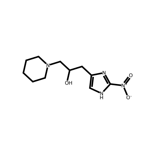 O=[N+]([O-])c1nc(CC(O)CN2CCCCC2)c[nH]1